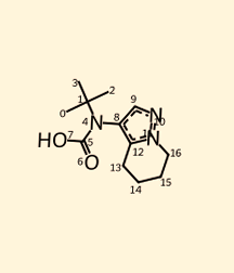 CC(C)(C)N(C(=O)O)c1cnn2c1CCCC2